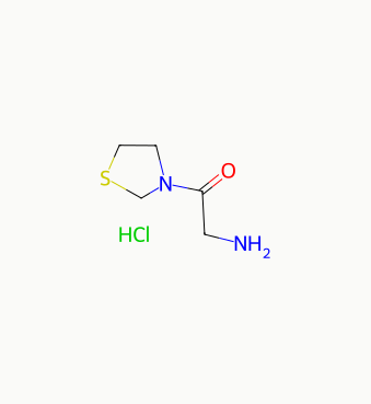 Cl.NCC(=O)N1CCSC1